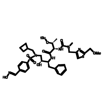 COCc1nc(CN(C)C(=O)N[C@H](C(=O)N[C@@H](Cc2ccccc2)[C@H](O)CN(CC2CCC2)S(=O)(=O)c2ccc(C=NO)cc2)[C@@H](C)OC(C)(C)C)cs1